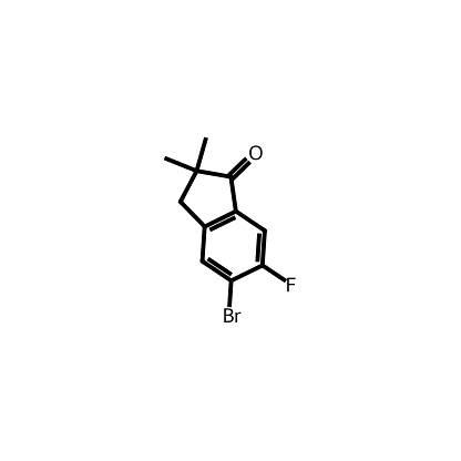 CC1(C)Cc2cc(Br)c(F)cc2C1=O